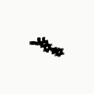 Cc1cc2c(cc1C(=O)NO)CCN(C1CC3(CCCCC3)C1)C2